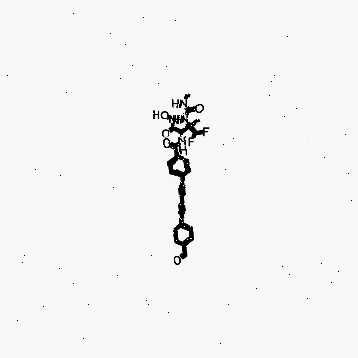 CNC(=O)NC(C)(C(F)F)[C@H](NC(=O)c1ccc(C#CC#Cc2ccc(C=O)cc2)cc1)C(=O)NO